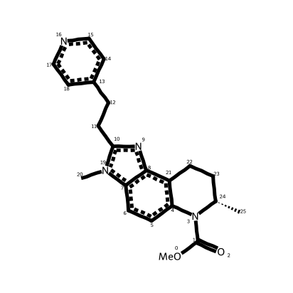 COC(=O)N1c2ccc3c(nc(CCc4ccncc4)n3C)c2CC[C@@H]1C